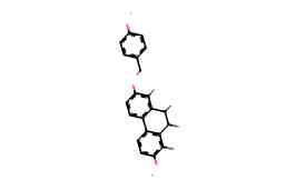 CCOc1ccc(COc2ccc3c(c2F)C(F)C(F)c2c-3ccc(OCC)c2F)cc1